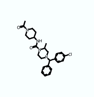 CC(=O)N1CCC(NC(=O)N2CCN(C(c3ccccc3)c3ccc(Cl)cc3)CC2C)CC1